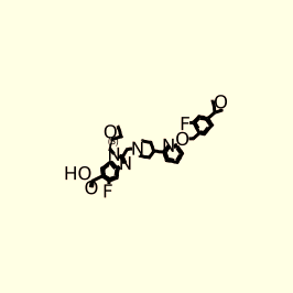 O=C(O)c1cc2c(cc1F)nc(CN1CCC(c3cccc(OCc4ccc(C5COC5)cc4F)n3)CC1)n2C[C@@H]1CCO1